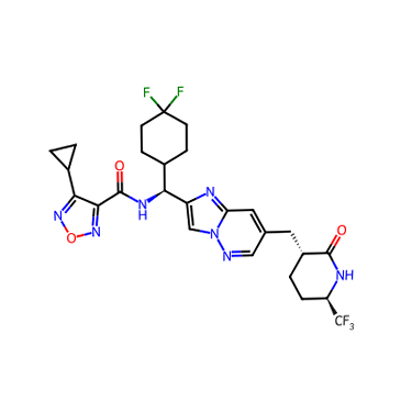 O=C(N[C@H](c1cn2ncc(C[C@H]3CC[C@H](C(F)(F)F)NC3=O)cc2n1)C1CCC(F)(F)CC1)c1nonc1C1CC1